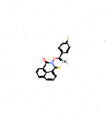 C=C(ON1C(=O)c2cccc3cccc(c23)C1=S)c1ccc(F)cc1